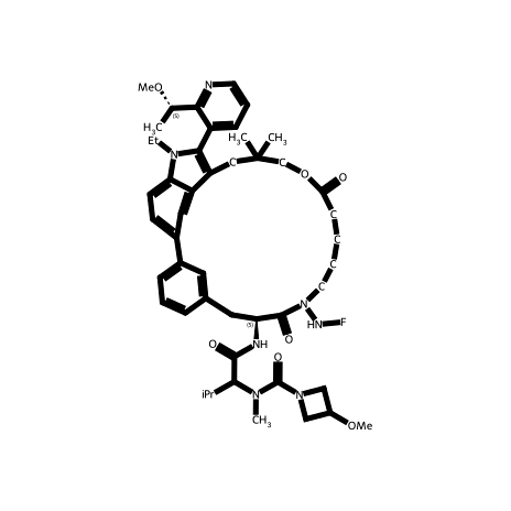 CCn1c(-c2cccnc2[C@H](C)OC)c2c3cc(ccc31)-c1cccc(c1)C[C@H](NC(=O)C(C(C)C)N(C)C(=O)N1CC(OC)C1)C(=O)N(NF)CCCCC(=O)OCC(C)(C)C2